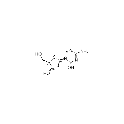 NC1=NC(O)N([C@H]2C[C@@H](O)[C@@H](CO)S2)C=N1